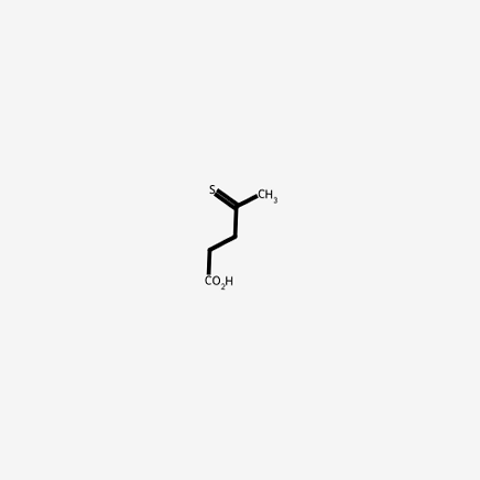 CC(=S)CCC(=O)O